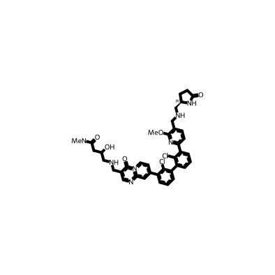 CNC(=O)CC(O)CNCc1cnc2cc(-c3cccc(-c4cccc(-c5ccc(CNC[C@H]6CCC(=O)N6)c(OC)n5)c4Cl)c3Cl)ccn2c1=O